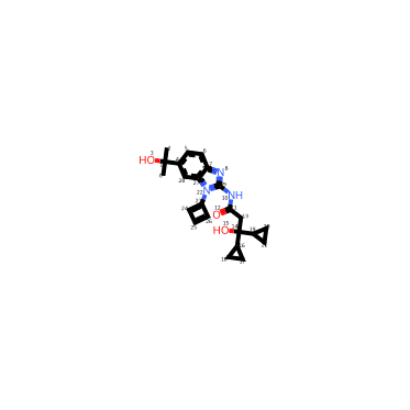 CC(C)(O)c1ccc2nc(NC(=O)CC(O)(C3CC3)C3CC3)n(C3=CC=C3)c2c1